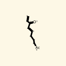 C=CC(=O)C=CCCCC(C)=O